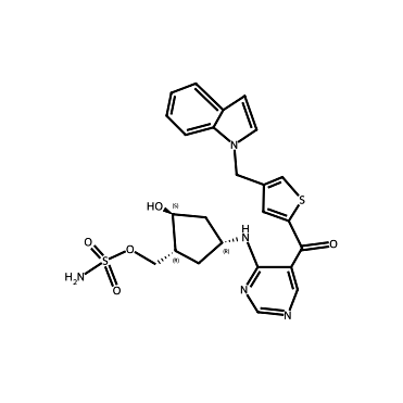 NS(=O)(=O)OC[C@H]1C[C@@H](Nc2ncncc2C(=O)c2cc(Cn3ccc4ccccc43)cs2)C[C@@H]1O